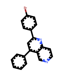 Brc1ccc(-c2cc(-c3ccccc3)c3cnccc3n2)cc1